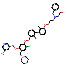 Cc1c(COc2cc(OCc3cncc(C#N)c3)c(CN3CCCC[C@H]3C)cc2Cl)cccc1-c1cccc(OCCCN(CCO)Cc2ccccc2)c1C